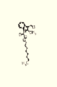 CCCCCCCCOOC(=O)n1c(C)c(C=O)c2ccccc21